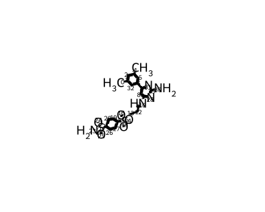 Cc1cc(C)cc(-c2cc(NCCCOS(=O)(=O)c3ccc(S(N)(=O)=O)cc3)nc(N)n2)c1